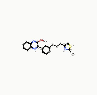 COc1nc2ccccc2nc1-c1cccc(CCCc2csc(C)n2)c1